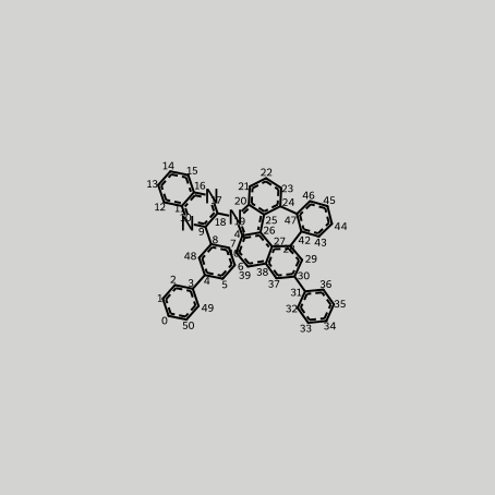 c1ccc(-c2cccc(-c3nc4ccccc4nc3-n3c4cccc5c4c4c6c(cc(-c7ccccc7)cc6ccc43)-c3ccccc3-5)c2)cc1